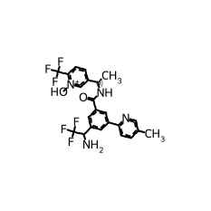 Cc1ccc(-c2cc(C(=O)N[C@H](C)c3ccc(C(F)(F)F)[n+](O)c3)cc(C(N)C(F)(F)F)c2)nc1